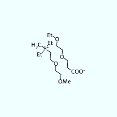 CCOCCOCCC(=O)[O-].CC[P+](C)(CC)CCOCCOC